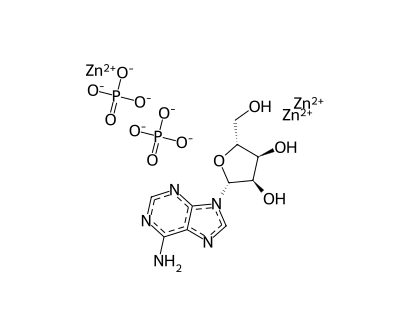 Nc1ncnc2c1ncn2[C@@H]1O[C@H](CO)[C@@H](O)[C@H]1O.O=P([O-])([O-])[O-].O=P([O-])([O-])[O-].[Zn+2].[Zn+2].[Zn+2]